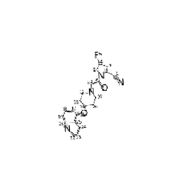 N#CC1C[C@H](F)CN1C(=O)CN1CCC(Oc2cccc3ncccc23)CC1